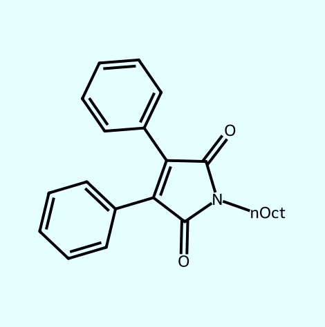 CCCCCCCCN1C(=O)C(c2ccccc2)=C(c2ccccc2)C1=O